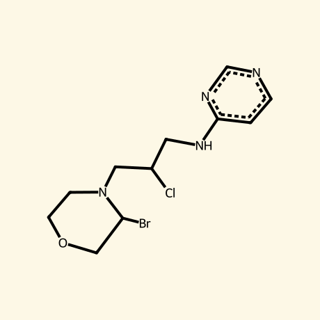 ClC(CNc1ccncn1)CN1CCOCC1Br